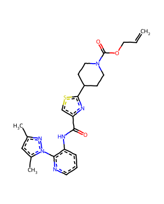 C=CCOC(=O)N1CCC(c2nc(C(=O)Nc3cccnc3-n3nc(C)cc3C)cs2)CC1